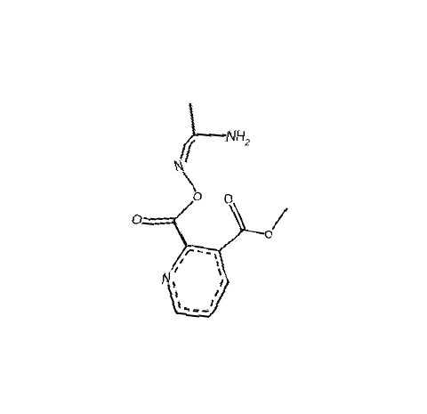 COC(=O)c1cccnc1C(=O)O/N=C(/C)N